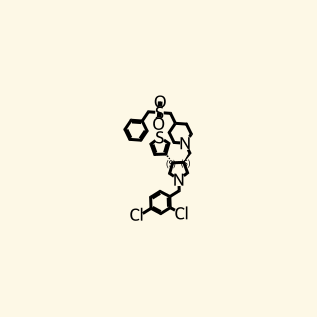 O=S(=O)(Cc1ccccc1)CC1CCN(C[C@H]2CN(Cc3ccc(Cl)cc3Cl)C[C@@H]2c2ccsc2)CC1